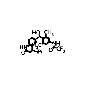 Cc1cc(NC(=O)C(F)(F)F)cc(C)c1C(O)c1ccc2[nH]c(=O)cc(C(C)C)c2c1